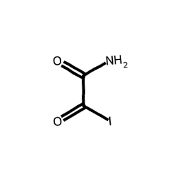 NC(=O)C(=O)I